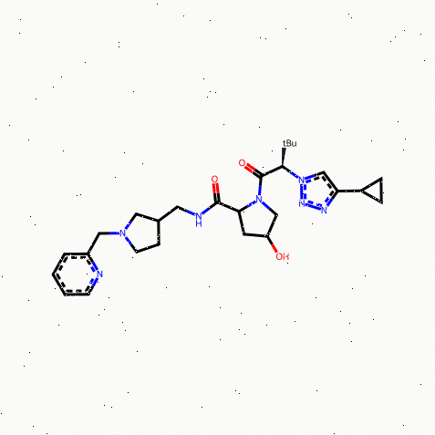 CC(C)(C)[C@H](C(=O)N1CC(O)CC1C(=O)NCC1CCN(Cc2ccccn2)C1)n1cc(C2CC2)nn1